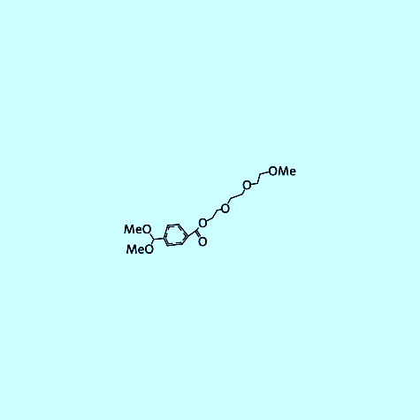 COCCOCCOCCOC(=O)c1ccc(C(OC)OC)cc1